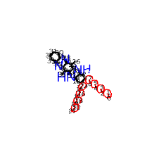 COCOCOCOc1cc2c(cc1OCOCOCOC)Nc1c(c(C)c3nc4ccccc4nc3c1C)N2